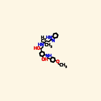 CCOc1ccc(CNc2cc(C(O)CNC(C)(C)CCc3nc4ccccc4[nH]3)ccc2O)cc1